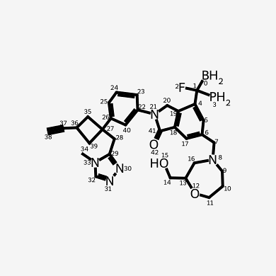 BC(F)(P)c1cc(CN2CCCOC(CO)C2)cc2c1CN(c1cccc(C3(Cc4nncn4C)CC(C#C)C3)c1)C2=O